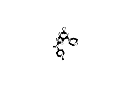 CN1CCC(N(C)c2nc3nc(Cl)nc(N4CCOCC4)c3s2)CC1